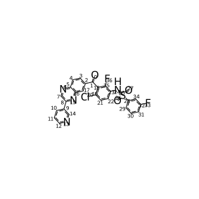 O=C(c1ccc2ncc(-c3cccnc3)nc2c1)c1c(Cl)ccc(NS(=O)(=O)c2cccc(F)c2)c1F